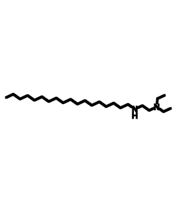 CCCCCCCCCCCCCCCCCCNCCN(CC)CC